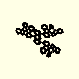 c1ccc2c(c1)-c1c(-c3c4cccc(-c5cccc6c5-c5ccccc5C65c6ccccc6-n6c7ccccc7c7cccc5c76)c4cc4c(-c5cccc6c5-c5ccccc5C65c6ccccc6-n6c7ccccc7c7cccc5c76)cccc34)cccc1C21c2ccccc2-c2c1ccc1ccccc21